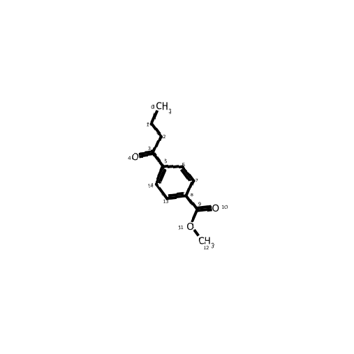 CCCC(=O)c1ccc(C(=O)OC)cc1